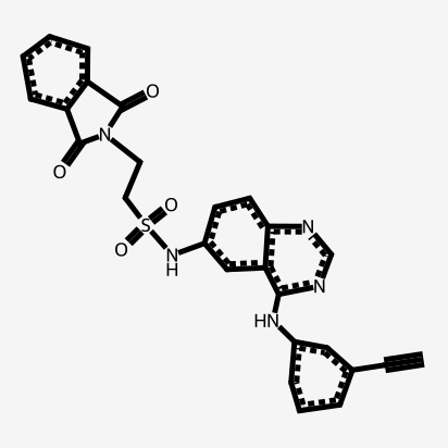 C#Cc1cccc(Nc2ncnc3ccc(NS(=O)(=O)CCN4C(=O)c5ccccc5C4=O)cc23)c1